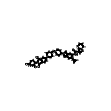 O=C1CCC(N2C(=O)c3ccc(N4CCC(CN5CCC(n6cc7cc(NC(=O)c8cnn9cccnc89)c(C8CC8)cc7n6)CC5)CC4)cc3C2=O)C(=O)N1